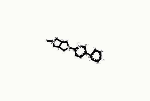 CN1CC2CN(c3ccc(-c4ccccc4)cn3)CC2C1